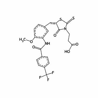 COc1ccc(C=C2SC(=S)N(CCC(=O)O)C2=O)cc1NC(=O)c1ccc(C(F)(F)F)cc1